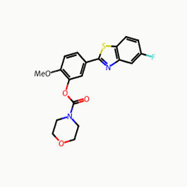 COc1ccc(-c2nc3cc(F)ccc3s2)cc1OC(=O)N1CCOCC1